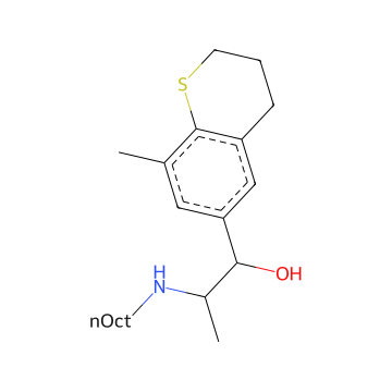 CCCCCCCCNC(C)C(O)c1cc(C)c2c(c1)CCCS2